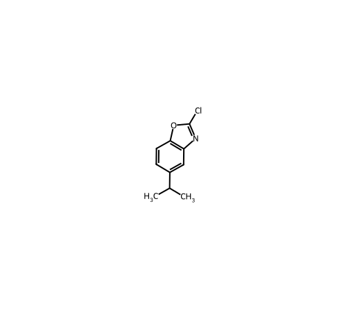 CC(C)c1ccc2oc(Cl)nc2c1